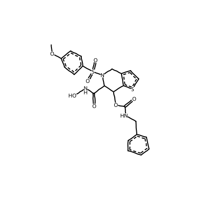 COc1ccc(S(=O)(=O)N2Cc3ccsc3C(OC(=O)NCc3ccccc3)C2C(=O)NO)cc1